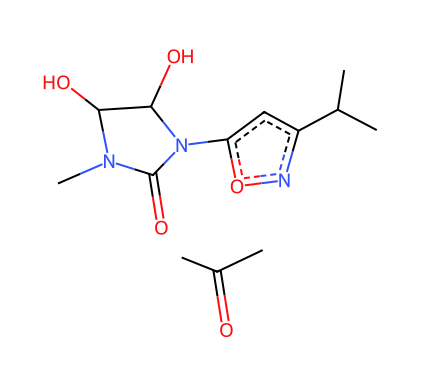 CC(C)=O.CC(C)c1cc(N2C(=O)N(C)C(O)C2O)on1